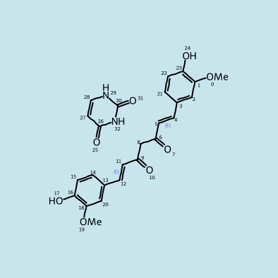 COc1cc(/C=C/C(=O)CC(=O)/C=C/c2ccc(O)c(OC)c2)ccc1O.O=c1cc[nH]c(=O)[nH]1